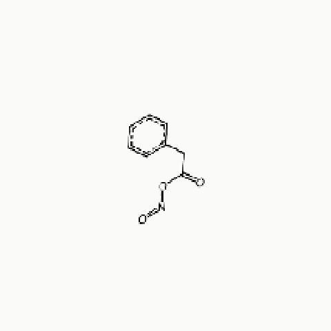 O=NOC(=O)Cc1ccccc1